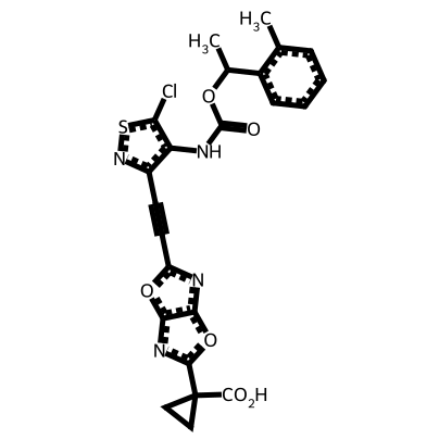 Cc1ccccc1C(C)OC(=O)Nc1c(C#Cc2nc3oc(C4(C(=O)O)CC4)nc3o2)nsc1Cl